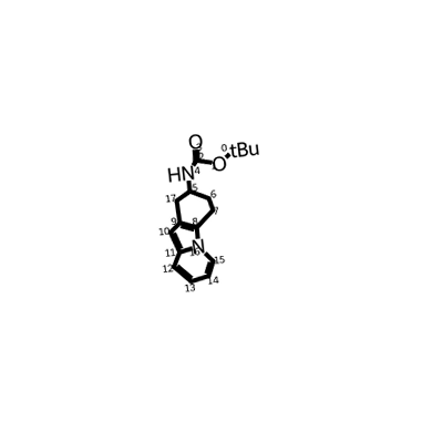 CC(C)(C)OC(=O)NC1CCc2c(cc3ccccn23)C1